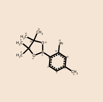 Cc1ccc(B2OC(C)(C)C(C)(C)O2)c(C(C)C)c1